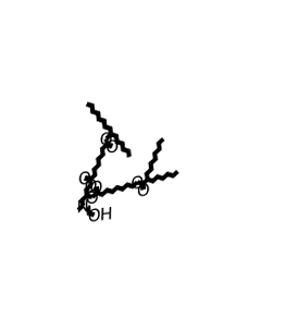 CCCCCCCCC(CCCCCC)OC(=O)CCCCCCC(=O)OCC(CN(C)CCO)OC(=O)CCCCCCCOC(=O)C(CCCCCC)CCCCCCCC